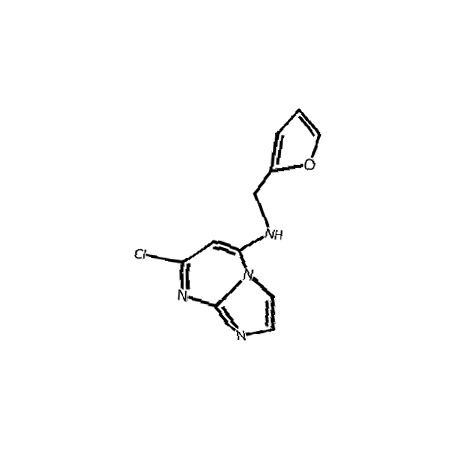 Clc1cc(NCc2ccco2)n2ccnc2n1